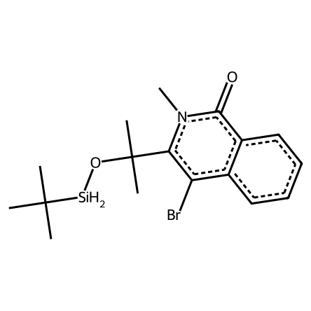 Cn1c(C(C)(C)O[SiH2]C(C)(C)C)c(Br)c2ccccc2c1=O